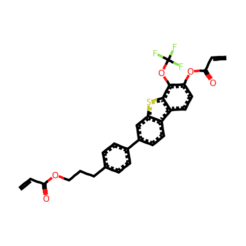 C=CC(=O)OCCCc1ccc(-c2ccc3c(c2)sc2c(OC(F)(F)F)c(OC(=O)C=C)ccc23)cc1